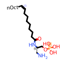 CCCCCCCC/C=C\CCCCCCCC(=O)N[C@@H](CN)CO[PH](O)(O)O